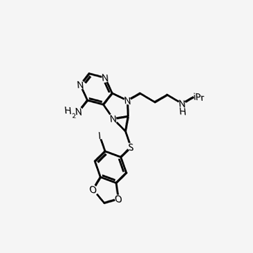 CC(C)NCCCN1c2ncnc(N)c2N2C(Sc3cc4c(cc3I)OCO4)C12